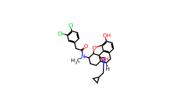 CN(C(=O)Cc1ccc(Cl)c(Cl)c1)C1CC[C@@]2(O)[C@H]3Cc4ccc(O)c5c4[C@@]2(CCN3CC2CC2)C1O5